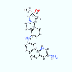 Cc1ccc(Nc2cccc3c2CCN(CC(C)(C)O)C3)cc1-c1ccc(N)cn1